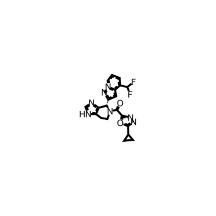 O=C(c1nnc(C2CC2)o1)N1CCc2[nH]cnc2[C@@H]1c1cc2c(C(F)F)cccn2n1